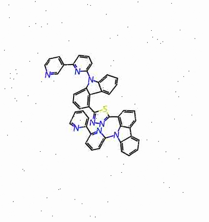 c1ccc(-c2cccc(-n3c4ccccc4c4cccc(-c5nnc(-c6cccc7c6c6ccccc6n7-c6cccc(-c7cccnc7)n6)s5)c43)n2)nc1